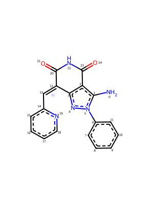 Nc1c2c(nn1-c1ccccc1)/C(=C\c1ccccn1)C(=O)NC2=O